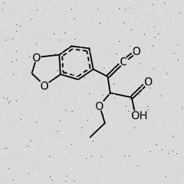 CCOC(C(=O)O)C(=C=O)c1ccc2c(c1)OCO2